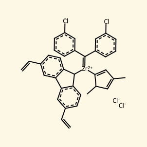 C=Cc1ccc2c(c1)-c1cc(C=C)ccc1[CH]2[Zr+2]([C]1=CC(C)=CC1C)=[C](c1cccc(Cl)c1)c1cccc(Cl)c1.[Cl-].[Cl-]